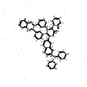 c1ccc(-c2nc3ccccc3nc2-c2cccc(-c3cc(-c4ccc5ccc(N(c6ccccc6)c6ccccc6)cc5c4)cc4oc5ccccc5c34)c2)cc1